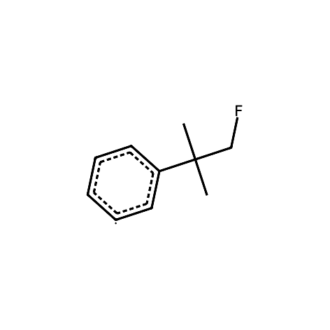 CC(C)(CF)c1c[c]ccc1